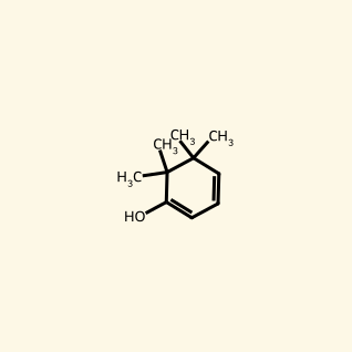 CC1(C)C=CC=C(O)C1(C)C